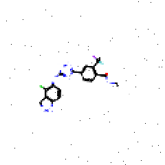 CCNC(=O)c1ccc(-c2nc(Nc3ccc4[nH]ncc4c3Cl)n(C)n2)cc1C(C)(F)I